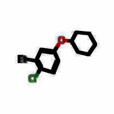 CCc1cc(O[C]2CCCCC2)ccc1Cl